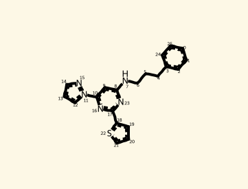 c1ccc(CCCNc2cc(-n3cccn3)nc(-c3cccs3)n2)cc1